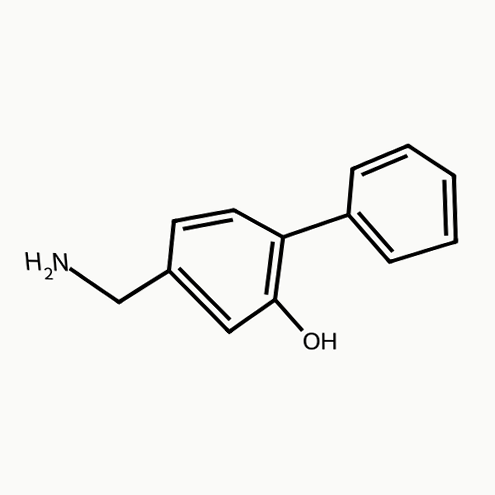 NCc1ccc(-c2ccccc2)c(O)c1